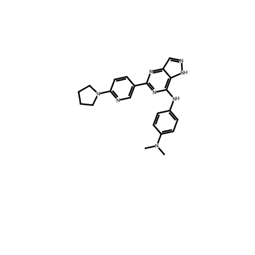 CN(C)c1ccc(Nc2nc(-c3ccc(N4CCCC4)nc3)nc3cn[nH]c23)cc1